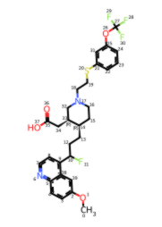 COc1ccc2nccc(C(F)CC[C@@H]3CCN(CCSc4cccc(OC(F)(F)F)c4)C[C@@H]3CC(=O)O)c2c1